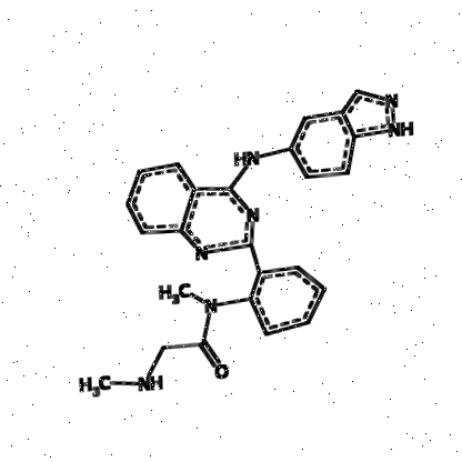 CNCC(=O)N(C)c1ccccc1-c1nc(Nc2ccc3[nH]ncc3c2)c2ccccc2n1